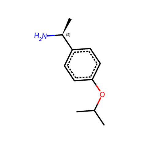 CC(C)Oc1ccc([C@H](C)N)cc1